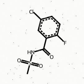 CS(=O)(=O)NC(=O)c1cc(Cl)ccc1F